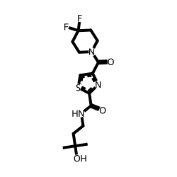 CC(C)(O)CCNC(=O)c1nc(C(=O)N2CCC(F)(F)CC2)cs1